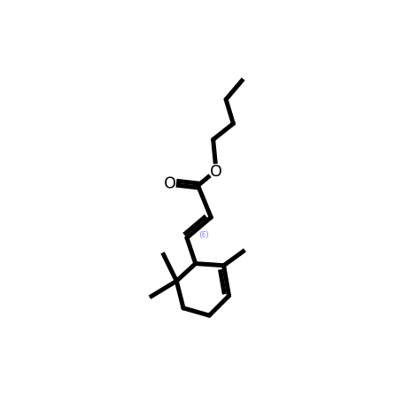 CCCCOC(=O)/C=C/C1C(C)=CCCC1(C)C